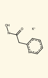 O=C(Cc1ccccn1)[N-]O.[K+]